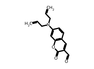 C=CCN(CC=C)c1ccc2cc(C=O)c(=O)oc2c1